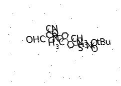 Cc1c(-c2nc3cc(C=O)cc(C#N)c3o2)cccc1-c1cccc(-c2nc3c(s2)CN(C(=O)OC(C)(C)C)C3)c1C